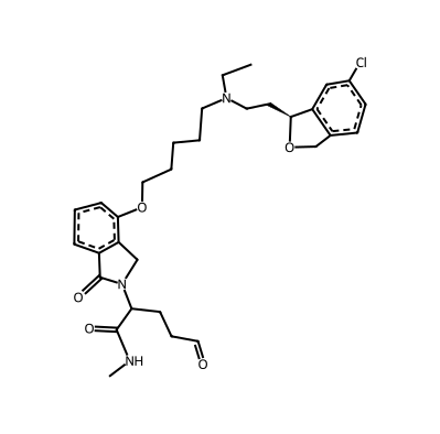 CCN(CCCCCOc1cccc2c1CN(C(CCC=O)C(=O)NC)C2=O)CC[C@@H]1OCc2ccc(Cl)cc21